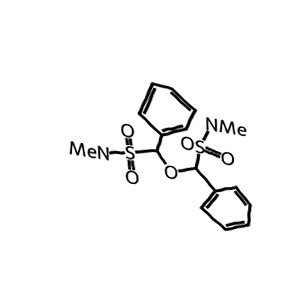 CNS(=O)(=O)C(OC(c1ccccc1)S(=O)(=O)NC)c1ccccc1